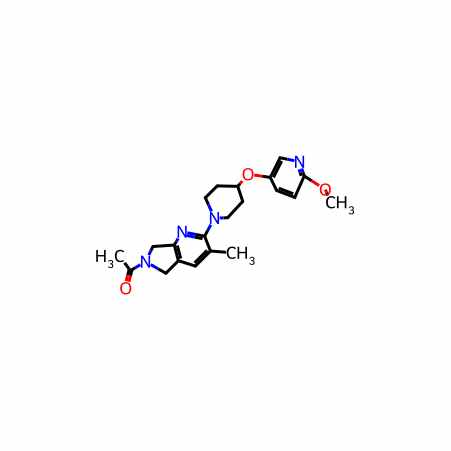 COc1ccc(OC2CCN(c3nc4c(cc3C)CN(C(C)=O)C4)CC2)cn1